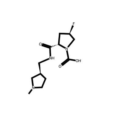 CN1CC[C@H](CNC(=O)[C@@H]2C[C@@H](F)CN2C(=O)O)C1